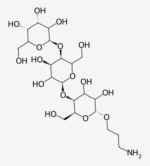 NCCCO[C@@H]1O[C@@H](CO)[C@@H](O[C@@H]2OC(CO)[C@H](O[C@H]3OC(CO)[C@H](O)[C@H](O)C3O)[C@H](O)C2O)C(O)C1O